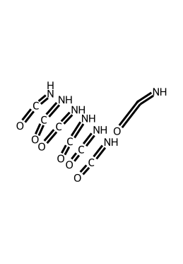 N=C=O.N=C=O.N=C=O.N=C=O.N=C=O.N=C=O.N=C=O